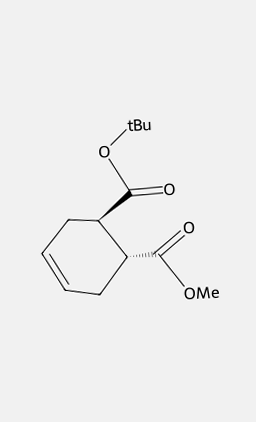 COC(=O)[C@@H]1CC=CC[C@H]1C(=O)OC(C)(C)C